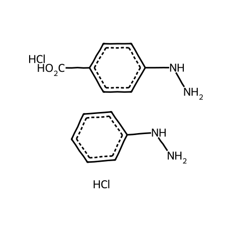 Cl.Cl.NNc1ccc(C(=O)O)cc1.NNc1ccccc1